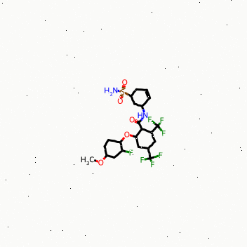 COC1CCC(OC2CC(C(F)(F)F)CC(C(F)(F)F)C2C(=O)NC2C=CCC(S(N)(=O)=O)C2)C(F)C1